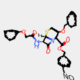 O=C(COc1ccccc1)N[C@@H]1C(=O)N2C(C(=O)OCc3ccc([N+](=O)[O-])cc3)C(OCc3ccccc3)=CS[C@@H]12